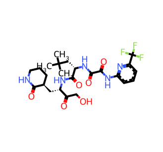 CC(C)(C)C[C@H](NC(=O)C(=O)Nc1cccc(C(F)(F)F)n1)C(=O)N[C@@H](C[C@@H]1CCCNC1=O)C(=O)CO